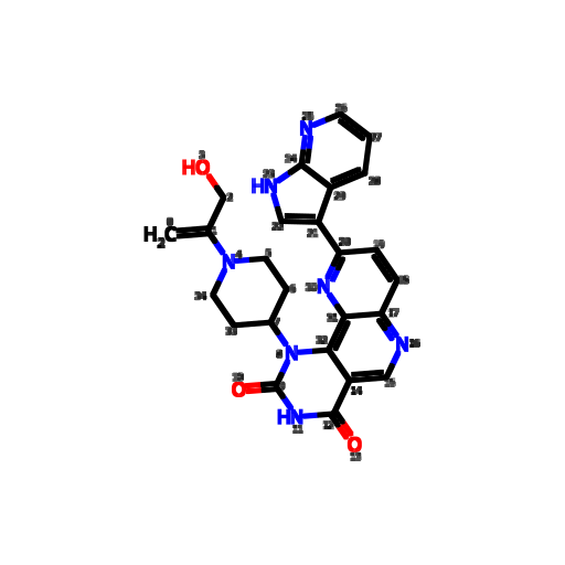 C=C(CO)N1CCC(n2c(=O)[nH]c(=O)c3cnc4ccc(-c5c[nH]c6ncccc56)nc4c32)CC1